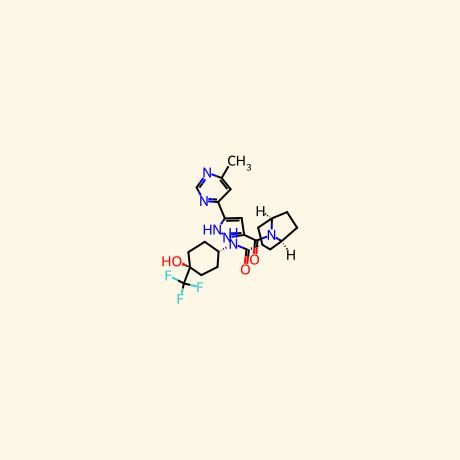 Cc1cc(-c2cc(C(=O)N3[C@@H]4CC[C@H]3C[C@H](C(=O)N[C@H]3CC[C@@](O)(C(F)(F)F)CC3)C4)n[nH]2)ncn1